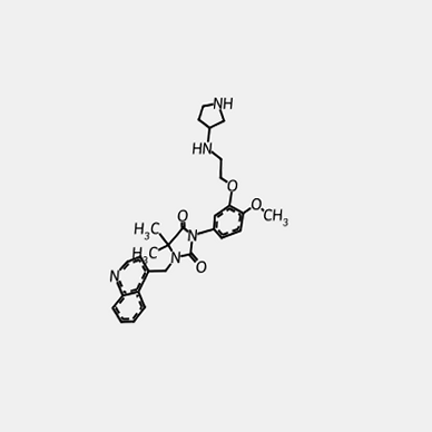 COc1ccc(N2C(=O)N(Cc3ccnc4ccccc34)C(C)(C)C2=O)cc1OCCNC1CCNC1